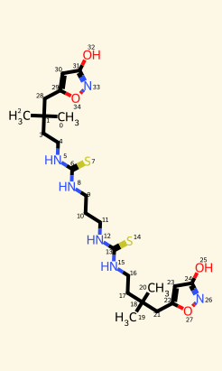 CC(C)(CCNC(=S)NCCCNC(=S)NCCC(C)(C)Cc1cc(O)no1)Cc1cc(O)no1